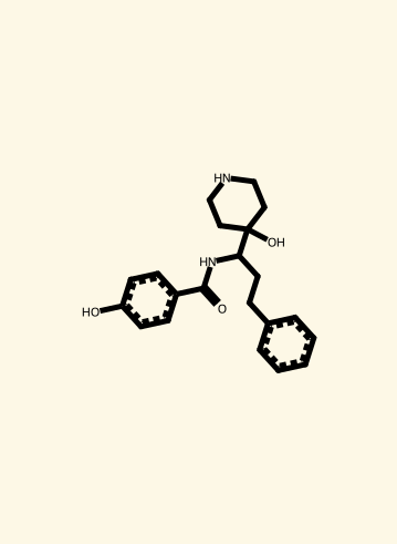 O=C(NC(CCc1ccccc1)C1(O)CCNCC1)c1ccc(O)cc1